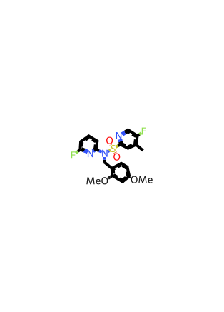 COc1ccc(CN(c2cccc(F)n2)S(=O)(=O)c2cc(C)c(F)cn2)c(OC)c1